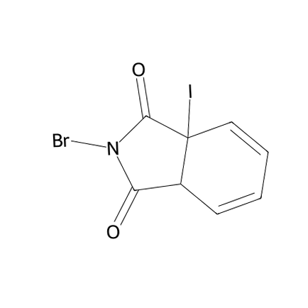 O=C1C2C=CC=CC2(I)C(=O)N1Br